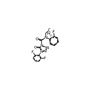 CCN(C(=O)n1nnn(-c2c(F)cccc2F)c1=O)c1ccccc1F